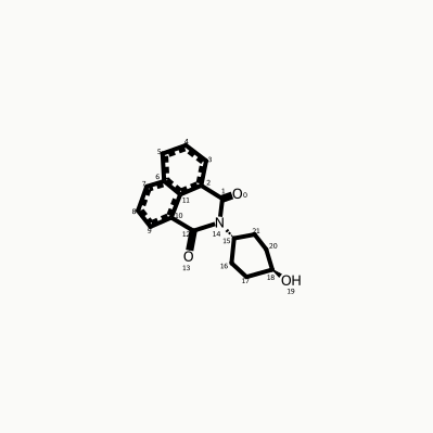 O=C1c2cccc3cccc(c23)C(=O)N1[C@H]1CC[C@H](O)CC1